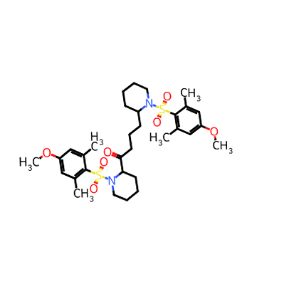 COc1cc(C)c(S(=O)(=O)N2CCCCC2CCCC(=O)C2CCCCN2S(=O)(=O)c2c(C)cc(OC)cc2C)c(C)c1